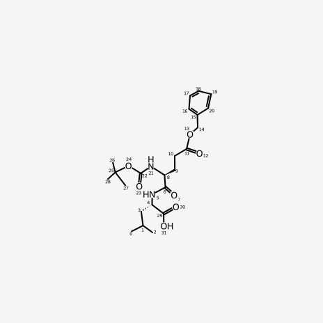 CC(C)C[C@H](NC(=O)[C@H](CCC(=O)OCc1ccccc1)NC(=O)OC(C)(C)C)C(=O)O